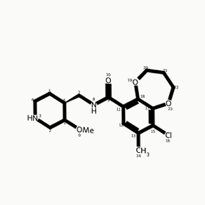 COC1CNCC[C@H]1CNC(=O)c1cc(C)c(Cl)c2c1OCCCO2